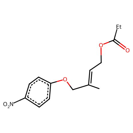 CCC(=O)OCC=C(C)COc1ccc([N+](=O)[O-])cc1